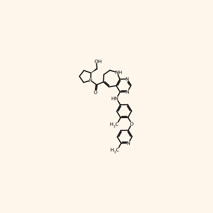 Cc1ccc(Oc2ccc(Nc3ncnc4c3C=C(C(=O)N3CCC[C@H]3CO)CCN4)cc2C)cn1